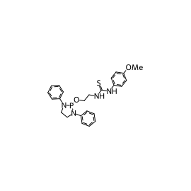 COc1ccc(NC(=S)NCCOP2N(c3ccccc3)CCN2c2ccccc2)cc1